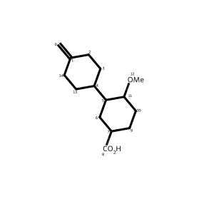 C=C1CCC(C2CC(C(=O)O)CCC2OC)CC1